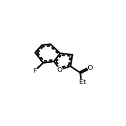 CCC(=O)c1cc2cccc(F)c2o1